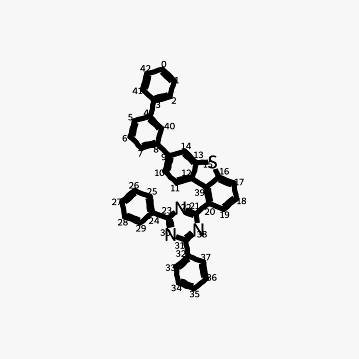 c1ccc(-c2cccc(-c3ccc4c(c3)sc3cccc(-c5nc(-c6ccccc6)nc(-c6ccccc6)n5)c34)c2)cc1